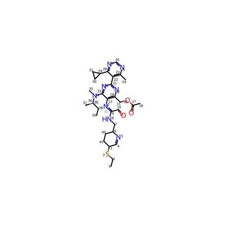 CCSC1C=NC(CN/C(C=O)=N/c2c(COC(C)=O)nc(-c3c(C)ncnc3C3CC3)nc2N(C)[C@H](C)CC)CC1